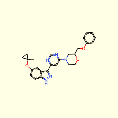 CC1(Oc2ccc3[nH]nc(-c4cc(N5CCOC(COc6ccccc6)C5)ncn4)c3c2)CC1